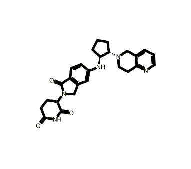 O=C1CCC(N2Cc3cc(N[C@H]4CCC[C@@H]4N4CCc5ncccc5C4)ccc3C2=O)C(=O)N1